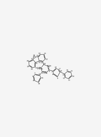 c1ccc(C2=NC(c3ccc(-c4ccccc4)cc3)=NC(c3cccc4oc5ccccc5c34)N2)cc1